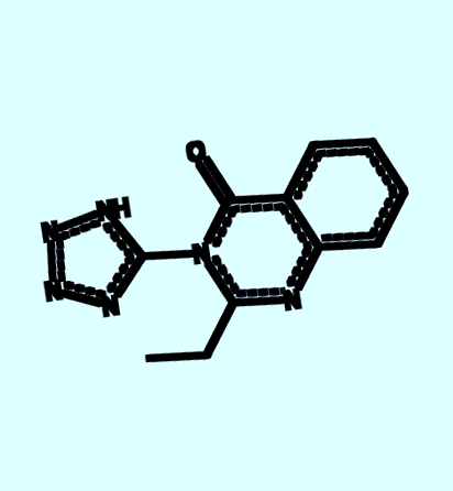 CCc1nc2ccccc2c(=O)n1-c1nnn[nH]1